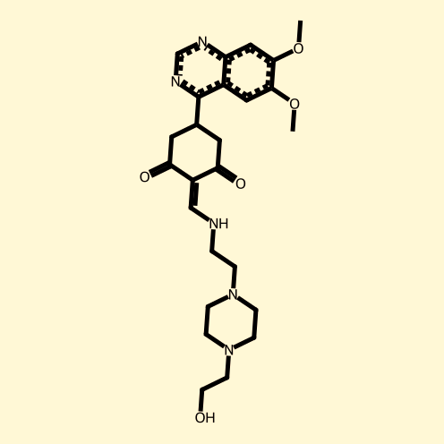 COc1cc2ncnc(C3CC(=O)C(=CNCCN4CCN(CCO)CC4)C(=O)C3)c2cc1OC